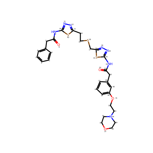 O=C(Cc1ccccc1)Nc1nnc(CCSCc2nnc(NC(=O)Cc3cccc(OCCN4CCOCC4)c3)s2)s1